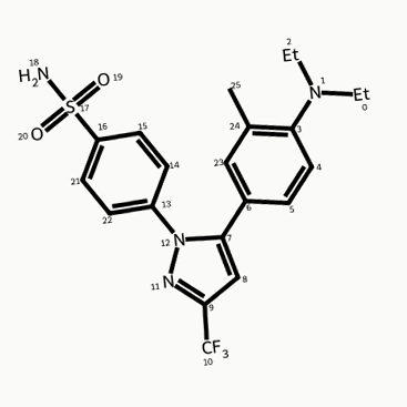 CCN(CC)c1ccc(-c2cc(C(F)(F)F)nn2-c2ccc(S(N)(=O)=O)cc2)cc1C